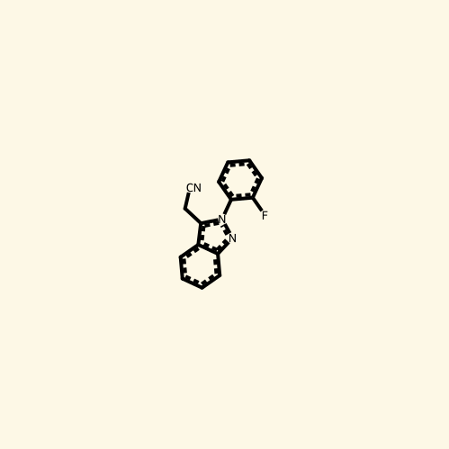 N#CCc1c2ccccc2nn1-c1ccccc1F